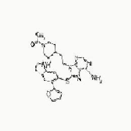 CC(=O)N1CCC(CCn2c(Sc3cc4c(cc3-c3ccco3)CCN4)nc3c(N)ncnc32)CC1